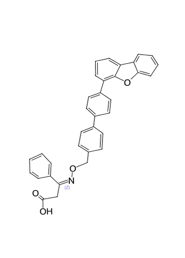 O=C(O)C/C(=N/OCc1ccc(-c2ccc(-c3cccc4c3oc3ccccc34)cc2)cc1)c1ccccc1